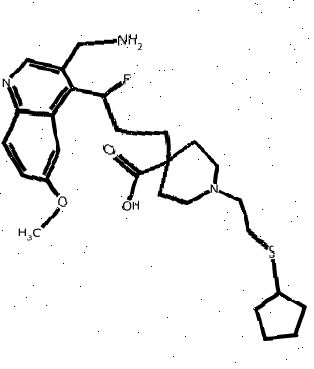 COc1ccc2ncc(CN)c(C(F)CCC3(C(=O)O)CCN(CCSC4CCCC4)CC3)c2c1